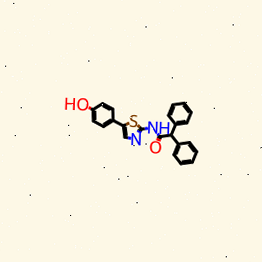 O=C(Nc1ncc(-c2ccc(O)cc2)s1)C(c1ccccc1)c1ccccc1